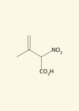 C=C(C)C(C(=O)O)[N+](=O)[O-]